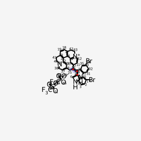 Brc1ccc2[nH]cc(/C=C/c3cc[n+]4c(c3)-c3c(ccc5c3-c3cc(/C=C/c6c[nH]c7ccc(Br)cc67)cc[n+]3CC5)CC4)c2c1.O=S(=O)([O-])C(F)(F)F.O=S(=O)([O-])C(F)(F)F